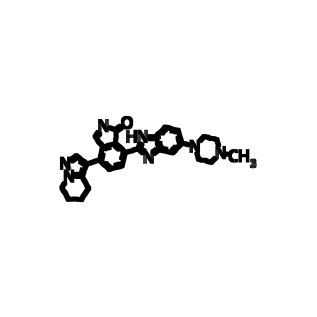 CN1CCN(c2ccc3[nH]c(-c4ccc(-c5cnn6c5CCCC6)c5c4C(=O)N=C5)nc3c2)CC1